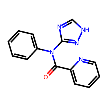 O=C(c1ccccn1)N(c1ccccc1)c1nc[nH]n1